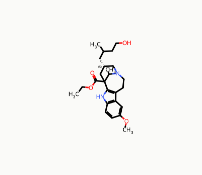 CCOC(=O)C12C[C@H](CC(C)CCO)CN(CCc3c1[nH]c1ccc(OC)cc31)C2C